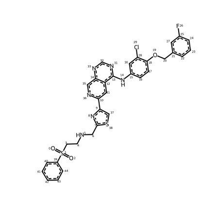 O=S(=O)(CCNCc1nc(-c2cc3c(Nc4ccc(OCc5cccc(F)c5)c(Cl)c4)ncnc3cn2)cs1)c1ccccc1